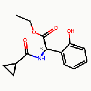 CCOC(=O)[C@H](NC(=O)C1CC1)c1ccccc1O